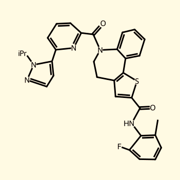 Cc1cccc(F)c1NC(=O)c1cc2c(s1)-c1ccccc1N(C(=O)c1cccc(-c3ccnn3C(C)C)n1)CC2